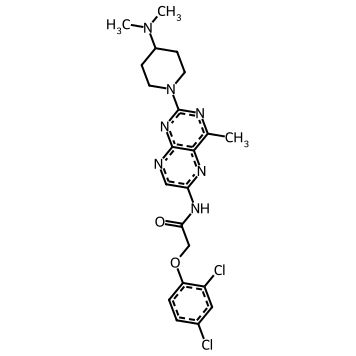 Cc1nc(N2CCC(N(C)C)CC2)nc2ncc(NC(=O)COc3ccc(Cl)cc3Cl)nc12